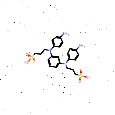 Nc1ccc(N(CCCS(=O)(=O)O)c2cccc(N(CCCS(=O)(=O)O)c3ccc(N)cc3)c2)cc1